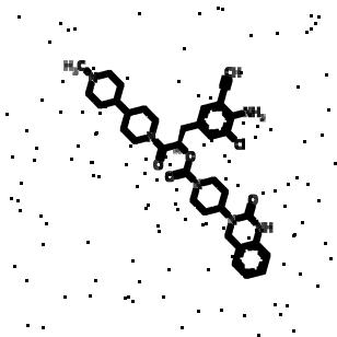 C#Cc1cc(C[C@@H](OC(=O)N2CCC(N3Cc4ccccc4NC3=O)CC2)C(=O)N2CCC(C3CCN(C)CC3)CC2)cc(Cl)c1N